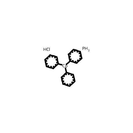 Cl.P.c1cc[c]([Co]([c]2ccccc2)[c]2ccccc2)cc1